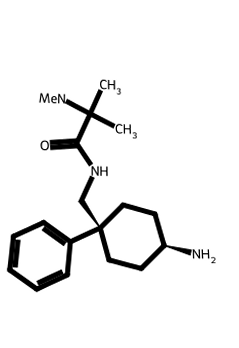 CNC(C)(C)C(=O)NC[C@]1(c2ccccc2)CC[C@H](N)CC1